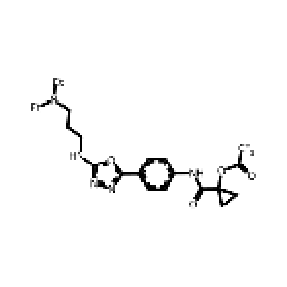 CCN(CC)CCCNc1nnc(-c2ccc(NC(=O)C3(OC(=O)C(F)(F)F)CC3)cc2)o1